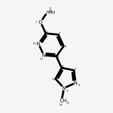 CCCCOc1ccc(-c2cnn(C)c2)nn1